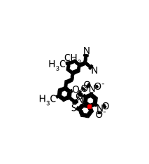 Cc1cc(C=CC2=CC(=C(C#N)C#N)CC(C)(C)C2)c(OS(=O)(=O)c2ccc([N+](=O)[O-])cc2[N+](=O)[O-])c(-c2nc3ccccc3s2)c1